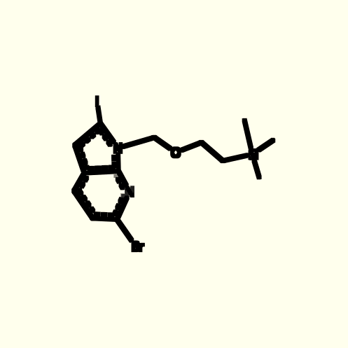 C[Si](C)(C)CCOCn1c(I)cc2ccc(Br)nc21